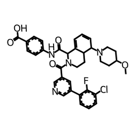 COC1CCN(C2C=CC=C3C2CCN(C(=O)c2cncc(-c4cccc(Cl)c4F)c2)C3C(=O)Nc2ccc(C(=O)O)cc2)CC1